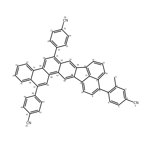 Cc1cc(C#N)ccc1-c1ccc2c3c(cccc13)-c1cc3c(-c4ccc(C#N)cc4)cc4c5ccccc5c(-c5ccc(C#N)cc5)cc4c3cc1-2